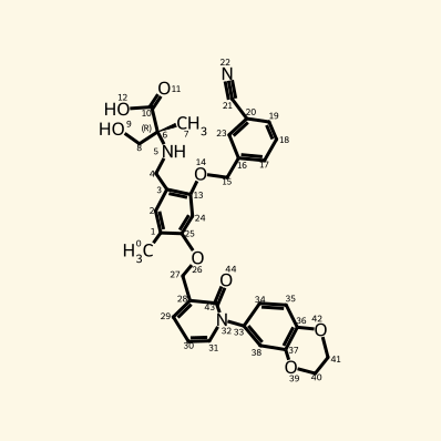 Cc1cc(CN[C@](C)(CO)C(=O)O)c(OCc2cccc(C#N)c2)cc1OCc1cccn(-c2ccc3c(c2)OCCO3)c1=O